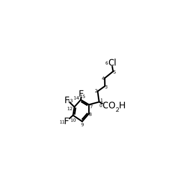 O=C(O)C(CCCCCl)c1ccc(F)c(F)c1F